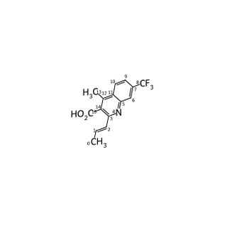 CC=Cc1nc2cc(C(F)(F)F)ccc2c(C)c1C(=O)O